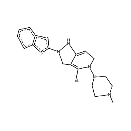 CCC1=C2CN(c3nc4ccccc4s3)NC2=CCN1N1CCN(C)CC1